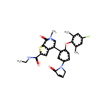 CCNC(=O)c1cc2c(-c3cc(N4CC=CC4=O)ccc3Oc3c(C)cc(F)cc3C)cn(C)c(=O)c2s1